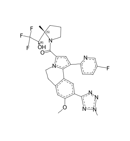 COc1cc2c(cc1-c1nnn(C)n1)-c1c(-c3ccc(F)cn3)cc(C(=O)N3CCC[C@@]3(C)[C@@H](O)C(F)(F)F)n1CC2